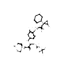 CN1CCN(C(=O)[C@@H](Cc2ccc(NC(=O)[C@]3(C4CCCCC4)CC3N)c(F)c2)NC(=O)OC(C)(C)C)CC1